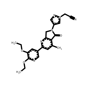 CCOc1cc(-c2cc(C)c3c(n2)CN(c2cnn(CC#N)c2)C3=O)cnc1OCC